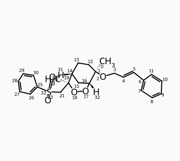 C[C@@]1(OCC=Cc2ccccc2)CC[C@@H]2C[C@H]1OO[C@@]2(C)CS(=O)(=O)c1ccccc1